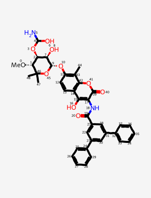 CO[C@@H]1[C@@H](OC(N)O)[C@@H](O)[C@H](Oc2ccc3c(O)c(NC(=O)c4cc(-c5ccccc5)cc(-c5ccccc5)c4)c(=O)oc3c2C)OC1(C)C